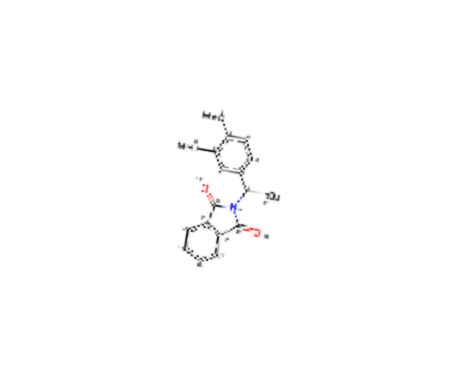 CCCCC(c1ccc(OC)c(OC)c1)N1C(=O)c2ccccc2C1=O